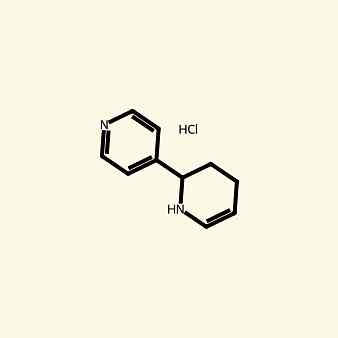 C1=CNC(c2ccncc2)CC1.Cl